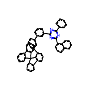 c1ccc(-c2nc(-c3cccc(-c4cccc(-c5cccc6c5C5(c7ccccc7-c7ccccc75)c5ccccc5-6)c4)c3)nc(-c3cccc4ccccc34)n2)cc1